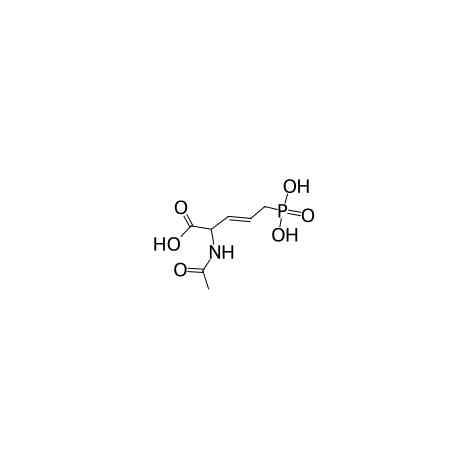 CC(=O)NC(/C=C/CP(=O)(O)O)C(=O)O